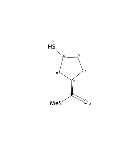 CSC(=O)[C@@H]1CCC(S)C1